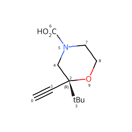 C#C[C@]1(C(C)(C)C)CN(C(=O)O)CCO1